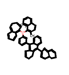 CC1=CCC=c2ccccc2=C1B(c1cccc(-c2c3c(c(C4=CCC5CCC=CC5=C4)c4ccccc24)CCC=C3)c1)c1c(C)ccc2ccccc12